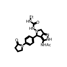 CCNC(=O)NN1Cc2n[nH]c(NC(C)=O)c2C1c1ccc(N2CCCC2=O)cc1